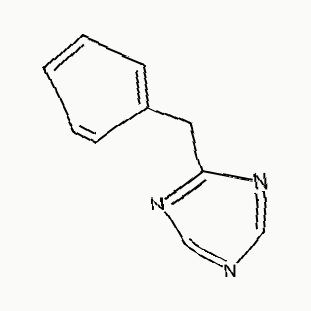 c1ccc(Cc2ncncn2)cc1